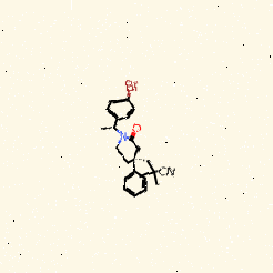 C[C@@H](c1ccc(Br)cc1)N1CC[C@](CC(C)(C)C#N)(c2ccccc2)CC1=O